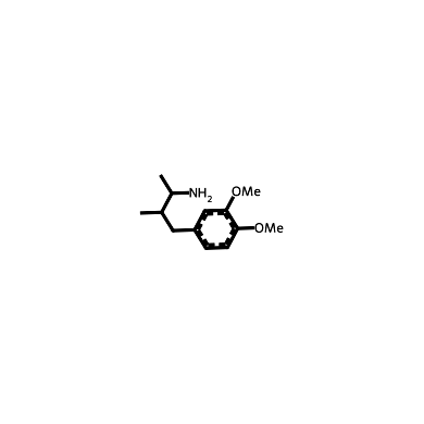 COc1ccc(CC(C)C(C)N)cc1OC